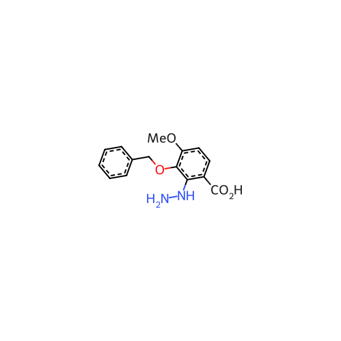 COc1ccc(C(=O)O)c(NN)c1OCc1ccccc1